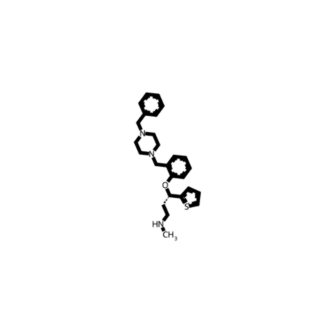 CNCC[C@H](Oc1ccccc1CN1CCN(Cc2ccccc2)CC1)c1cccs1